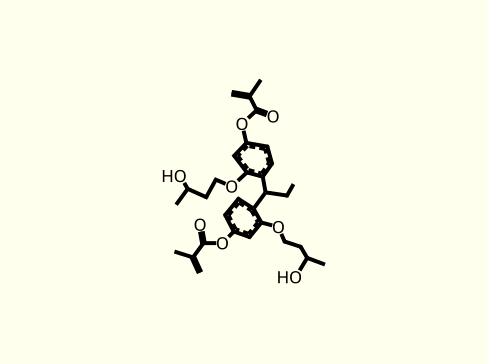 C=C(C)C(=O)Oc1ccc(C(CC)c2ccc(OC(=O)C(=C)C)cc2OCCC(C)O)c(OCCC(C)O)c1